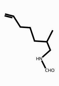 C=CCCCC(C)CNC=O